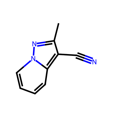 Cc1nn2ccccc2c1C#N